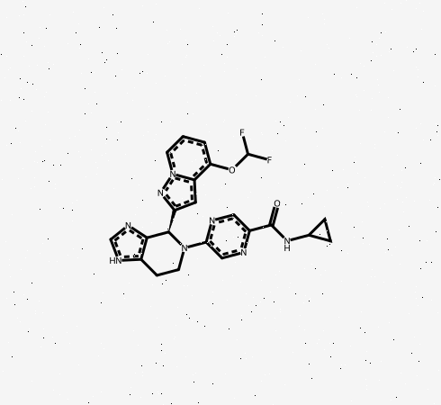 O=C(NC1CC1)c1cnc(N2CCc3[nH]cnc3[C@H]2c2cc3c(OC(F)F)cccn3n2)cn1